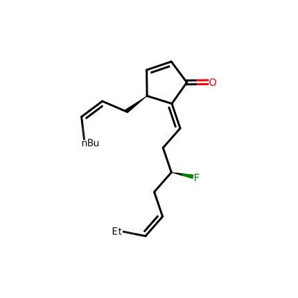 CC/C=C\C[C@H](F)C/C=C1/C(=O)C=C[C@@H]1C/C=C\CCCC